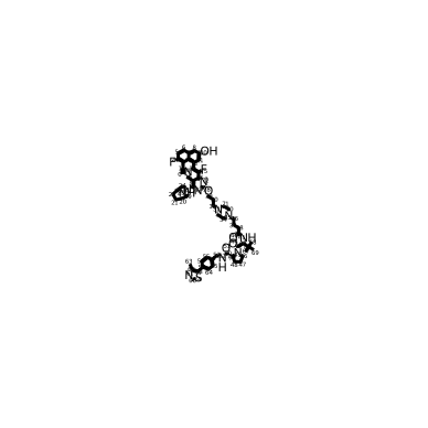 C#Cc1c(F)ccc2cc(O)cc(-c3ncc4c(N5CC6CCC(C5)N6)nc(OCCCN5CCN(CCCC(=O)NC(C(=O)N6CCC[C@H]6C(=O)NCc6ccc(-c7scnc7C)cc6)C(C)(C)C)CC5)nc4c3F)c12